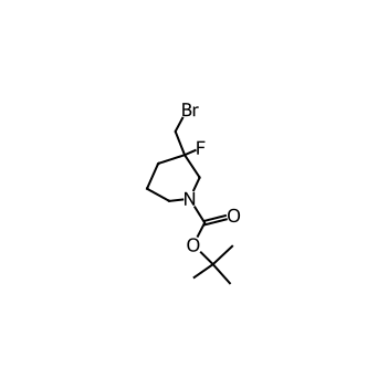 CC(C)(C)OC(=O)N1CCCC(F)(CBr)C1